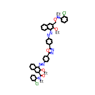 CCOc1c(CON(CC)c2ccccc2Cl)cc2ccccc2c1N=Nc1ccc(-c2nnc(-c3ccc(N=Nc4c(OCC)c(C(=O)N(CC)c5ccccc5Cl)cc5ccccc45)cc3)o2)cc1